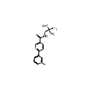 COC(C)(C)CNC(=O)c1ccc(-c2cccc(F)c2)nc1